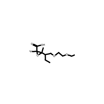 [2H]C1(C(=O)O)OC1(C)C(CC)COCCOCC